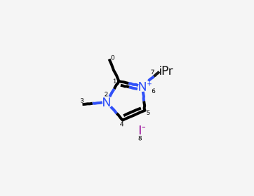 Cc1n(C)cc[n+]1C(C)C.[I-]